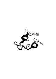 COC(=O)c1ccc(CCN2C(=O)SCCN2CCC(=O)Cc2cccc(C)c2)s1